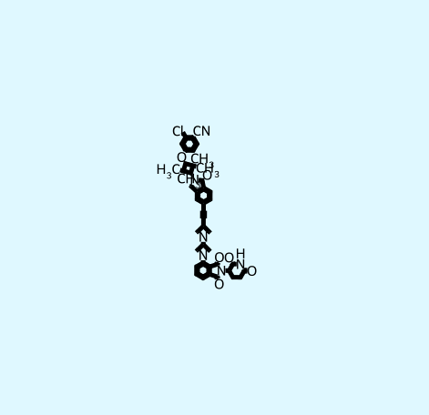 CC1(C)[C@H](Oc2ccc(C#N)c(Cl)c2)C(C)(C)[C@H]1N1Cc2cc(C#CC3CN(C4CN(c5cccc6c5C(=O)N(C5CCC(=O)NC5=O)C6=O)C4)C3)ccc2C1=O